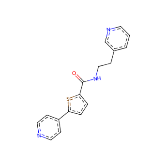 O=C(NCCc1cccnc1)c1ccc(-c2ccncc2)s1